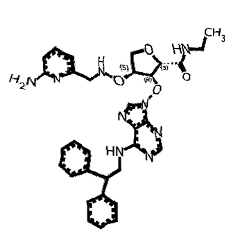 CCNC(=O)[C@H]1OC[C@H](ONCc2cccc(N)n2)[C@@H]1On1cnc2c(NCC(c3ccccc3)c3ccccc3)ncnc21